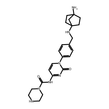 NC12CCC(NCc3ccc(-n4ccc(NC(=O)N5CCNCC5)nc4=O)cc3)(CC1)C2